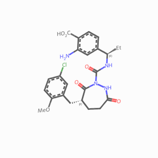 CC[C@@H](NC(=O)N1NC(=O)CC[C@H](Cc2cc(Cl)ccc2OC)C1=O)c1ccc(C(=O)O)c(N)c1